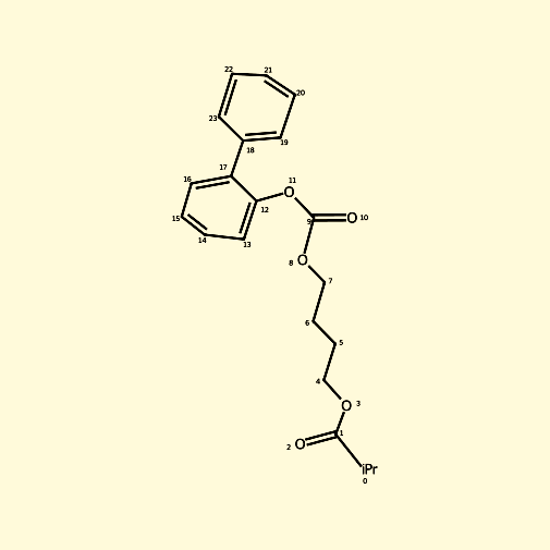 CC(C)C(=O)OCCCCOC(=O)Oc1ccccc1-c1ccccc1